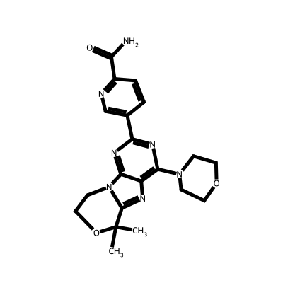 CC1(C)OCCn2c1nc1c(N3CCOCC3)nc(-c3ccc(C(N)=O)nc3)nc12